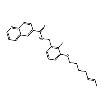 C/C=C/CCCCOc1cccc(CNC(=O)c2ccc3ncccc3c2)c1F